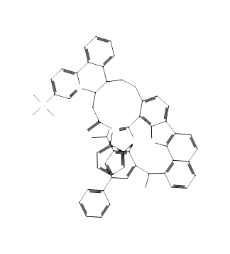 C=C1CC2C(CCc3ccc4c5oc6c4ccc4cccc(c46)C(C)c4cc(-c6ccccc6)cc(C(C)C)c4-n4c([n+]1c1ccccc14)-c35)c1ccccc1-c1ccc([Si](C)(C)C)c[n+]12